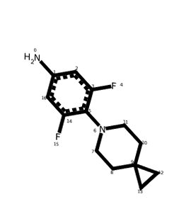 Nc1cc(F)c(N2CCC3(CC2)CC3)c(F)c1